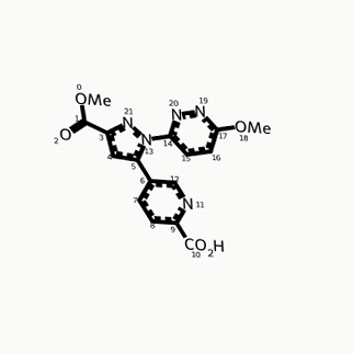 COC(=O)c1cc(-c2ccc(C(=O)O)nc2)n(-c2ccc(OC)nn2)n1